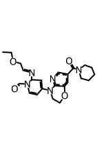 CCOC/C=N/C1C=C(N2CCOc3cc(C(=O)N4CCCCC4)cnc32)C=CN1C=O